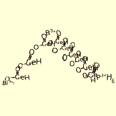 [B+3].[Bi+3].[O]=[GeH][O-].[O]=[GeH][O-].[O]=[GeH][O-].[O]=[GeH][O-].[O]=[GeH][O-].[O]=[GeH][O-].[O]=[GeH][O-].[O]=[GeH][O-].[O]=[GeH][O-].[PH6+3]